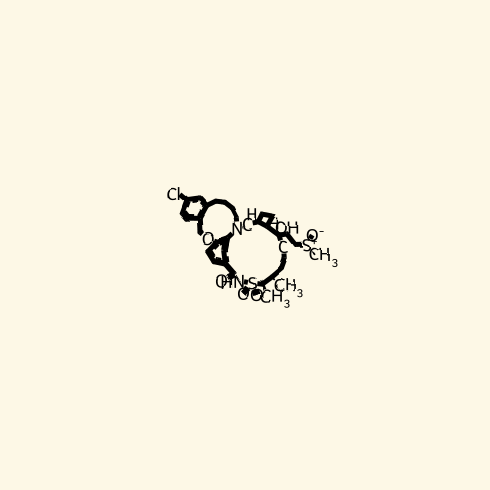 C[C@@H]1[C@@H](C)CCC[C@@](O)(CC[S@@+](C)[O-])[C@@H]2CC[C@H]2CN2CCCCc3cc(Cl)ccc3COc3ccc(cc32)C(=O)NS1(=O)=O